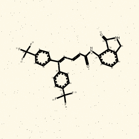 O=C(/C=C/C=C(c1ccc(C(F)(F)F)cc1)c1ccc(C(F)(F)F)cc1)Nc1cccc2c1C(=O)NC2